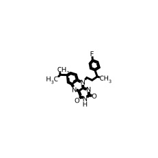 CC(C)c1ccc2c(c1)nc1c(=O)[nH]c(=O)nc-1n2CCC(C)c1ccc(F)cc1